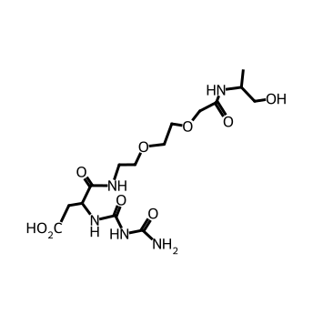 CC(CO)NC(=O)COCCOCCNC(=O)C(CC(=O)O)NC(=O)NC(N)=O